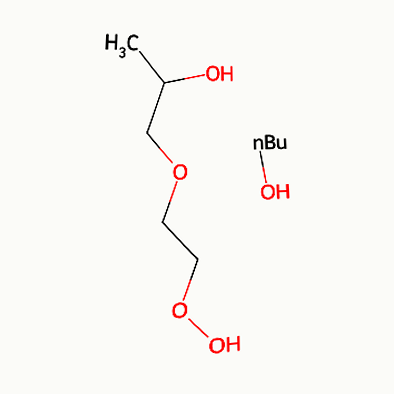 CC(O)COCCOO.CCCCO